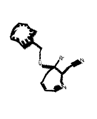 N#CC1N=CC=CC1(Br)OCc1ccccc1